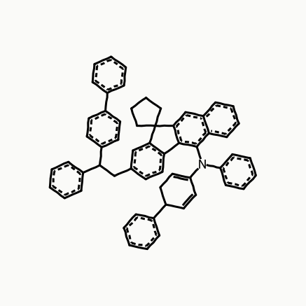 C1=CC(c2ccccc2)CC=C1N(c1ccccc1)c1c2c(cc3ccccc13)C1(CCCC1)c1cc(CC(c3ccccc3)c3ccc(-c4ccccc4)cc3)ccc1-2